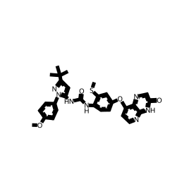 COc1ccc(-n2nc(C(C)(C)C)cc2NC(=O)Nc2ccc(Oc3ccnc4[nH]c(=O)cnc34)cc2SC)cc1